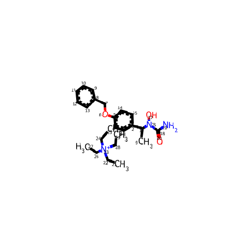 CC(c1ccc(OCc2ccccc2)cc1)N(O)C(N)=O.CC[N+](CC)(CC)CC